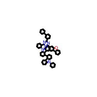 c1ccc(-c2cccc(-c3nc(-c4ccc5c(c4)oc4ccccc45)nc(-c4ccccc4-n4c5ccccc5c5c(-c6cccc7c6c6ccccc6n7-c6ccccc6)cccc54)n3)c2)cc1